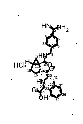 Cl.N=C(N)c1ccc(CNC(=O)[C@]23C[C@H]2CCN3C(=O)[C@H](Cc2ccccc2)NCC(=O)O)cc1